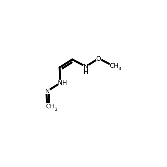 C=NN/C=C\NOC